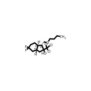 CCCCOC[C@H]1[C@@H]2CCC(F)(F)C[C@H]2CC1(O)C(Cl)(Cl)Cl